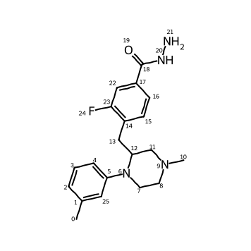 Cc1cccc(N2CCN(C)CC2Cc2ccc(C(=O)NN)cc2F)c1